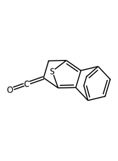 O=C=C1Cc2sc1c1c3ccc(cc3)c21